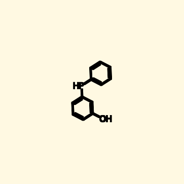 Oc1cccc(Pc2ccccc2)c1